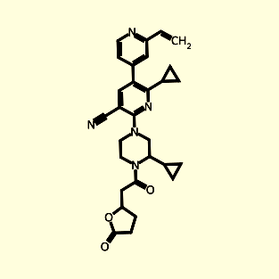 C=Cc1cc(-c2cc(C#N)c(N3CCN(C(=O)CC4CCC(=O)O4)C(C4CC4)C3)nc2C2CC2)ccn1